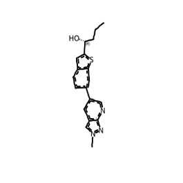 CCC[C@@H](O)c1cc2ccc(-c3cnc4nn(C)cc4c3)cc2s1